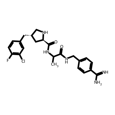 CC(NC(=O)[C@H]1C[C@H](Cc2ccc(F)c(Cl)c2)CN1)C(=O)NCc1ccc(C(=N)N)cc1